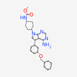 COC(=O)N[C@H]1CC[C@@H](n2cc(-c3cccc(OCc4ccccc4)c3)c3c(N)ncnc32)CC1